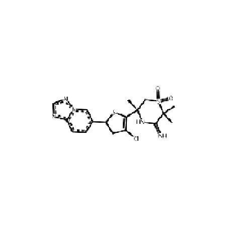 CC1(C)C(=N)N[C@](C)(C2=C(Cl)CC(c3ccc4ncnn4c3)S2)CS1(=O)=O